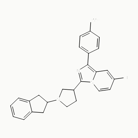 COc1ccc(-c2nc(C3CCN(C4Cc5ccccc5C4)C3)n3ccc(Cl)cc23)cc1